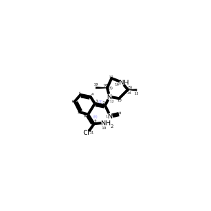 C=N/C(=c1/cccc/c1=C(/N)Cl)N1C[C@H](C)NC[C@@H]1C